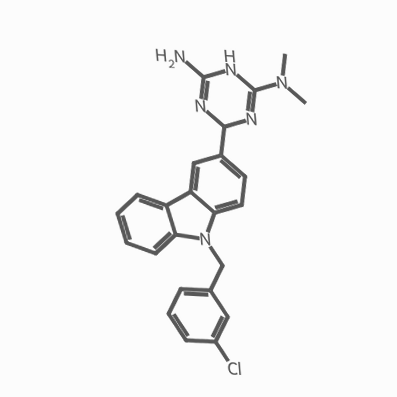 CN(C)C1=NC(c2ccc3c(c2)c2ccccc2n3Cc2cccc(Cl)c2)N=C(N)N1